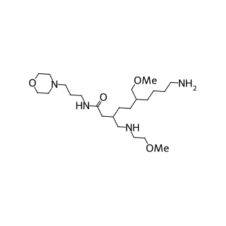 COCCNCC(CCC(CCCCN)COC)CC(=O)NCCCN1CCOCC1